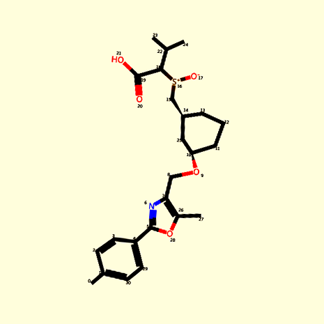 Cc1ccc(-c2nc(CO[C@@H]3CCC[C@H](C[S+]([O-])C(C(=O)O)C(C)C)C3)c(C)o2)cc1